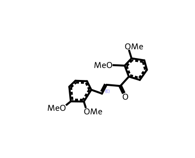 COc1cccc(/C=C/C(=O)c2cccc(OC)c2OC)c1OC